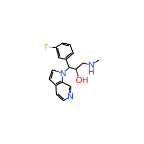 CNC[C@@H](O)[C@H](c1cccc(F)c1)n1ccc2ccncc21